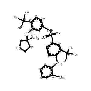 C[C@@]1(Oc2cc(NS(=O)(=O)c3ccc(Oc4ccccc4Cl)c(C(F)(F)F)c3)ccc2C(F)(F)F)CCNC1